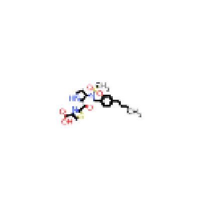 CCCCc1ccc(CN(C2CCN[C@H]2C(=O)c2nc(C(=O)O)cs2)S(C)(=O)=O)cc1